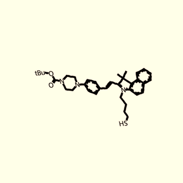 CC(C)(C)OC(=O)N1CCN(c2ccc(/C=C/C3=[N+](CCCCS)c4ccc5ccccc5c4C3(C)C)cc2)CC1